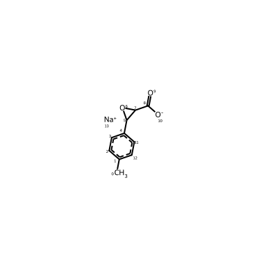 Cc1ccc(C2OC2C(=O)[O-])cc1.[Na+]